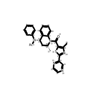 CC(=O)N(c1ccccc1)[C@H]1C[C@@H](C)N(C(=O)c2sc(-c3cnccn3)nc2C)c2ccccc21